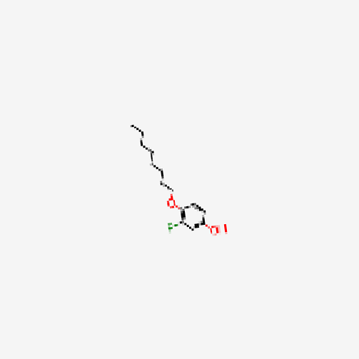 CCCCCCCCOc1ccc(O)cc1F